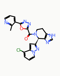 Cc1ncccc1-c1nnc(C(=O)N2CCc3[nH]cnc3[C@H]2c2cc3c(Cl)cccn3n2)o1